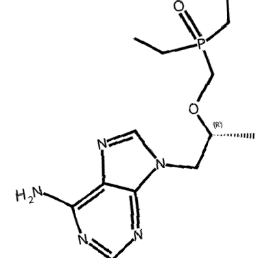 CCP(=O)(CC)CO[C@H](C)Cn1cnc2c(N)ncnc21